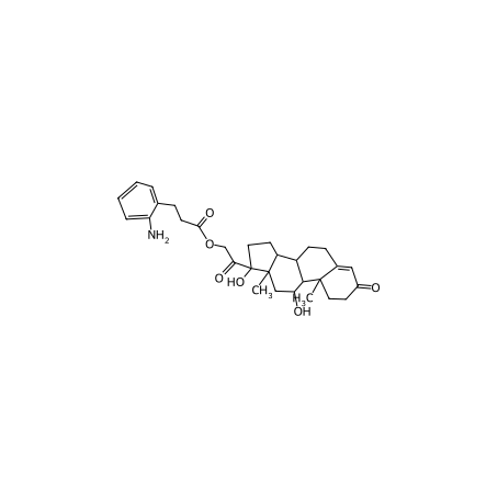 CC12CCC(=O)C=C1CCC1C2C(O)CC2(C)C1CCC2(O)C(=O)COC(=O)CCc1ccccc1N